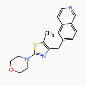 Cc1sc(N2CCOCC2)nc1Cc1ccc2cnccc2c1